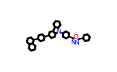 c1ccc(-c2nnc(-c3ccc(-n4c5ccccc5c5cc(-c6ccc(-c7cccc8ccccc78)cc6)ccc54)cc3)o2)cc1